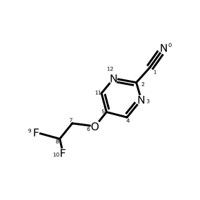 N#Cc1ncc(OCC(F)F)cn1